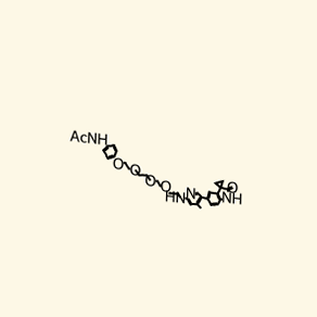 CC(=O)Nc1ccc(OCCOCCOCCOCCNc2cc(C)c(-c3ccc4c(c3)C3(CC3)C(=O)N4)cn2)cc1